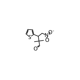 CC(C)(C=O)C(C[N+](=O)[O-])c1cccs1